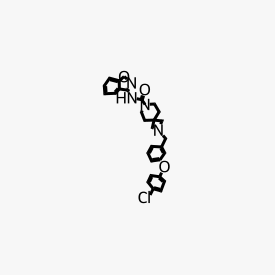 O=C(Nc1noc2ccccc12)N1CCC2(CC1)CN(Cc1cccc(Oc3ccc(Cl)cc3)c1)C2